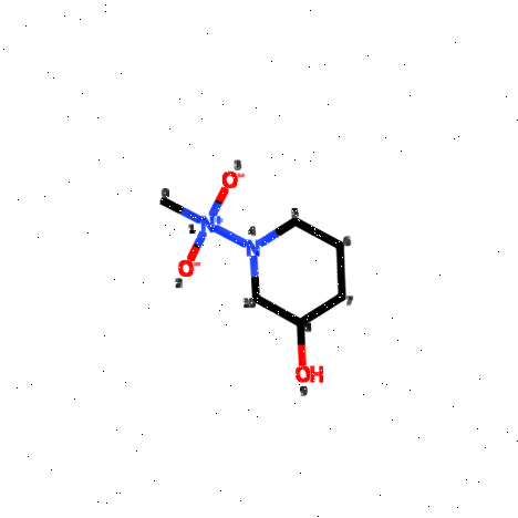 C[N+]([O-])([O-])N1CCCC(O)C1